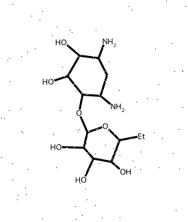 CCC1OC(OC2C(N)CC(N)C(O)C2O)C(O)C(O)C1O